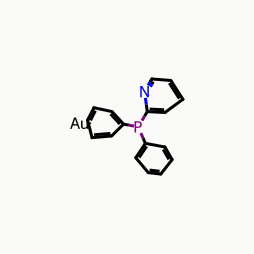 [Au].c1ccc(P(c2ccccc2)c2ccccn2)cc1